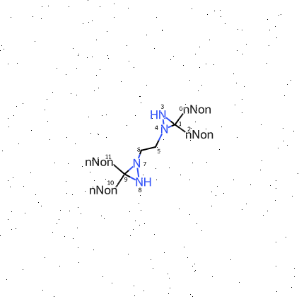 CCCCCCCCCC1(CCCCCCCCC)NN1CCN1NC1(CCCCCCCCC)CCCCCCCCC